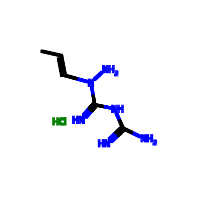 CC=CN(N)C(=N)NC(=N)N.Cl